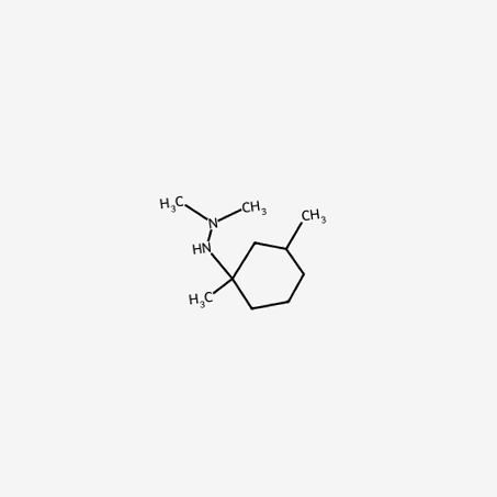 CC1CCCC(C)(NN(C)C)C1